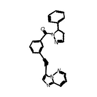 O=C(c1cccc(C#Cc2cnc3cccnn23)c1)N1N=CCC1c1ccccc1